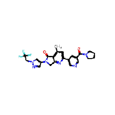 Cc1cc(-c2cncc(C(=O)N3CCCC3)c2)nc2c1C(=O)N(c1cnn(CC(F)(F)F)c1)C2